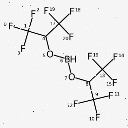 FC(F)(F)C(OBOC(C(F)(F)F)C(F)(F)F)C(F)(F)F